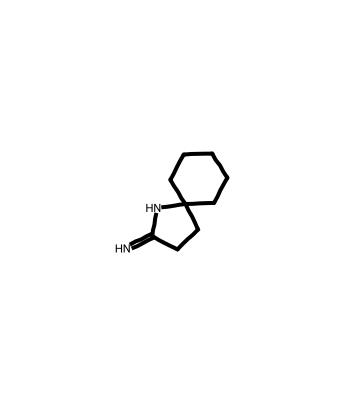 N=C1CCC2(CCCCC2)N1